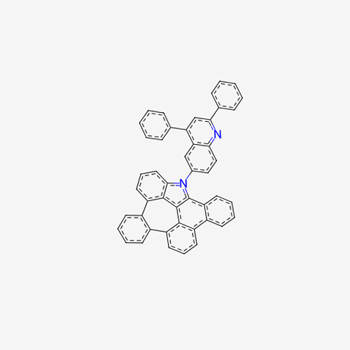 c1ccc(-c2cc(-c3ccccc3)c3cc(-n4c5cccc6c5c5c7c(cccc7c7ccccc7c54)-c4ccccc4-6)ccc3n2)cc1